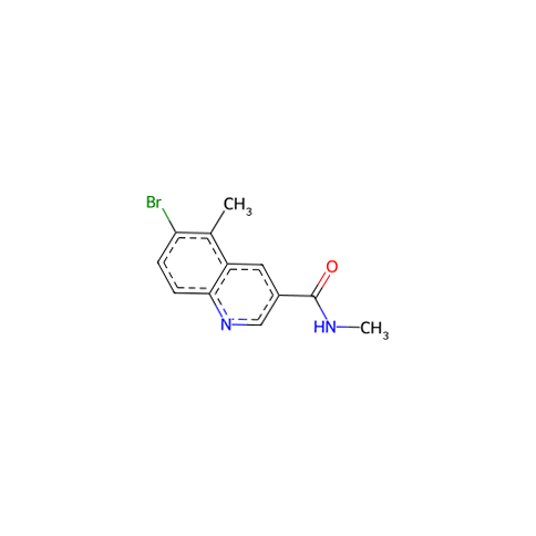 CNC(=O)c1cnc2ccc(Br)c(C)c2c1